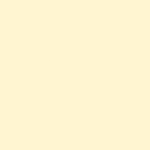 CC(=O)Oc1ccc(C=CC(=O)Cl)cc1Cl